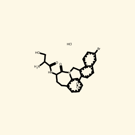 COc1ccc2cc(Br)ccc2c1CN1C(=O)C(NC(=O)C(N)CO)CCc2ccccc21.Cl